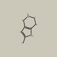 Cc1cc2c(o1)CCOC2